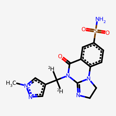 [2H]C([2H])(c1cnn(C)c1)N1C(=O)c2cc(S(N)(=O)=O)ccc2N2CCN=C21